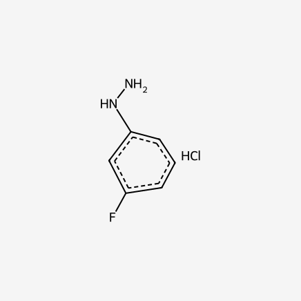 Cl.NNc1cccc(F)c1